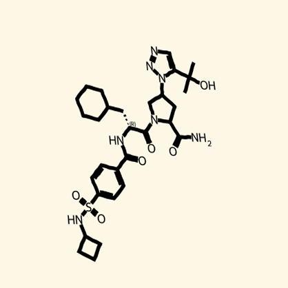 CC(C)(O)c1cnnn1C1CC(C(N)=O)N(C(=O)[C@@H](CC2CCCCC2)NC(=O)c2ccc(S(=O)(=O)NC3CCC3)cc2)C1